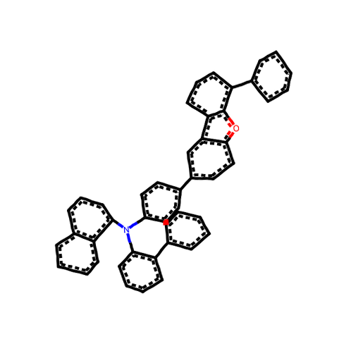 c1ccc(-c2ccccc2N(c2ccc(-c3ccc4oc5c(-c6ccccc6)cccc5c4c3)cc2)c2cccc3ccccc23)cc1